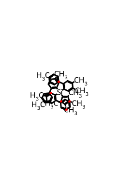 CC1=C(C)C(C)C([Si](c2cc(C)c(C)cc2-c2ccccc2)(c2cc(C)c(C)cc2-c2ccccc2)c2cc(C)c(C)cc2-c2ccccc2)=C1C